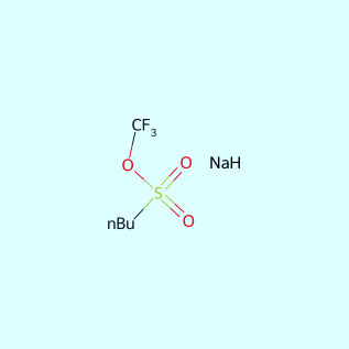 CCCCS(=O)(=O)OC(F)(F)F.[NaH]